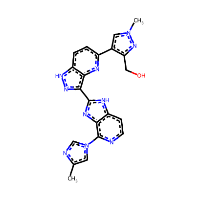 Cc1cn(-c2nccc3[nH]c(-c4n[nH]c5ccc(-c6cn(C)nc6CO)nc45)nc23)cn1